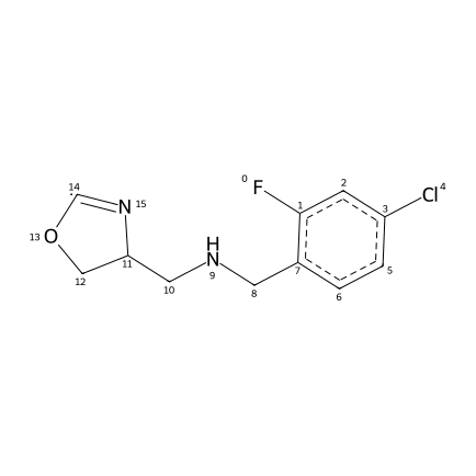 Fc1cc(Cl)ccc1CNCC1CO[C]=N1